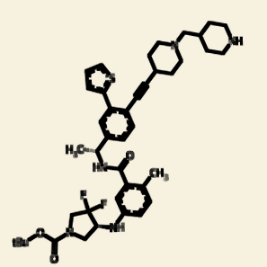 Cc1ccc(N[C@H]2CN(C(=O)OC(C)(C)C)CC2(F)F)cc1C(=O)N[C@H](C)c1ccc(C#CC2CCN(CC3CCNCC3)CC2)c(-c2cccs2)c1